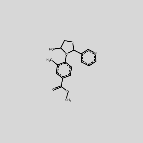 COC(=O)c1ccc(N2C(O)CSC2c2cccnc2)c(C)c1